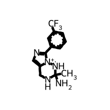 CC1(N)NCC2=CN=C(c3cccc(C(F)(F)F)c3)[N+]2N1